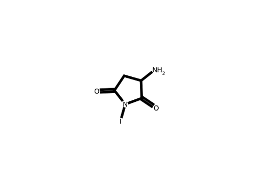 NC1CC(=O)N(I)C1=O